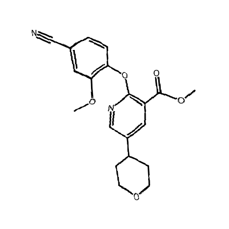 COC(=O)c1cc(C2CCOCC2)cnc1Oc1ccc(C#N)cc1OC